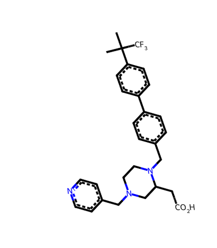 CC(C)(c1ccc(-c2ccc(CN3CCN(Cc4ccncc4)CC3CC(=O)O)cc2)cc1)C(F)(F)F